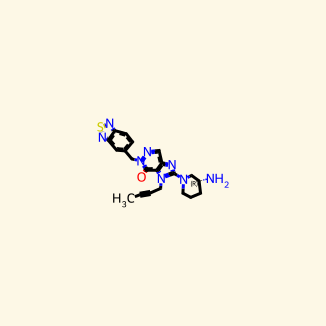 CC#CCn1c(N2CCC[C@@H](N)C2)nc2cnn(Cc3ccc4nsnc4c3)c(=O)c21